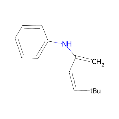 C=C(/C=C\C(C)(C)C)Nc1ccccc1